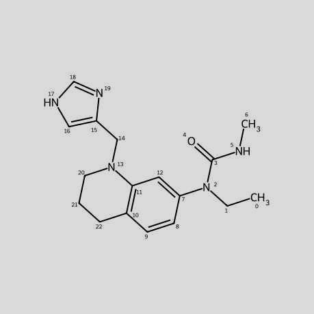 CCN(C(=O)NC)c1ccc2c(c1)N(Cc1c[nH]cn1)CCC2